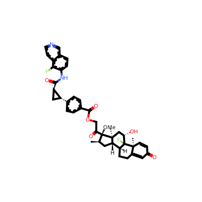 CO[C@]1(C(=O)COC(=O)c2ccc([C@@H]3C[C@H]3C(=O)Nc3ccc4cnccc4c3F)cc2)[C@H](C)C[C@H]2[C@@H]3CCC4=CC(=O)C=C[C@]4(C)[C@@]3(F)[C@@H](O)C[C@@]21C